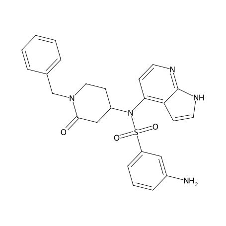 Nc1cccc(S(=O)(=O)N(c2ccnc3[nH]ccc23)C2CCN(Cc3ccccc3)C(=O)C2)c1